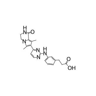 Cc1c(-c2ccnc(Nc3cccc(CCC(=O)O)c3)n2)c(C)n2c1C(=O)NCC2